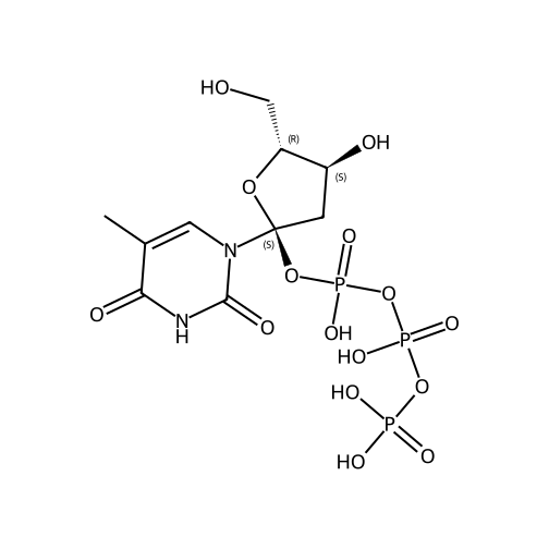 Cc1cn([C@@]2(OP(=O)(O)OP(=O)(O)OP(=O)(O)O)C[C@H](O)[C@@H](CO)O2)c(=O)[nH]c1=O